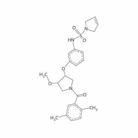 COC1CN(C(=O)c2cc(C)ccc2C)CC1Oc1cccc(NS(=O)(=O)N2CC=CC2)c1